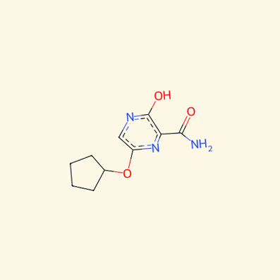 NC(=O)c1nc(OC2CCCC2)cnc1O